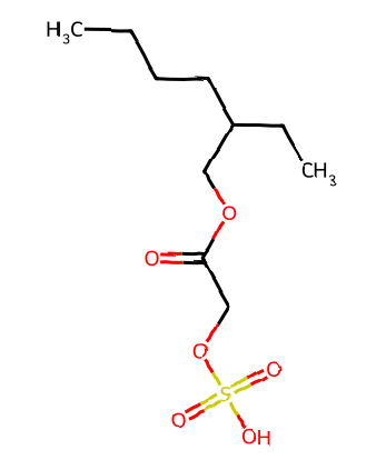 CCCCC(CC)COC(=O)COS(=O)(=O)O